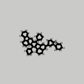 c1ccc(-c2c3cc4c5ccccc5c5cccc(c3c(-c3ccccc3)c3c6cccc7cc(-c8ccc9sc%10ccccc%10c9c8)cc(c23)c76)c54)cc1